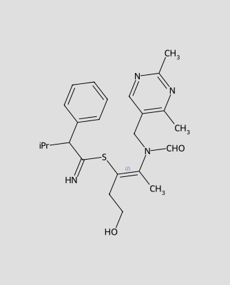 C/C(=C(\CCO)SC(=N)C(c1ccccc1)C(C)C)N(C=O)Cc1cnc(C)nc1C